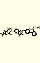 Cc1c(C)n(Cc2ccc(-c3ccccc3C(=O)O)cc2)c2ccc(C(=O)N[C@@H](C)c3ncn(C(C)C)n3)cc12